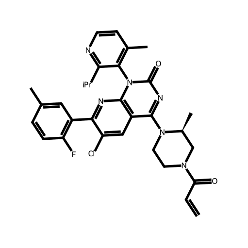 C=CC(=O)N1CCN(c2nc(=O)n(-c3c(C)ccnc3C(C)C)c3nc(-c4cc(C)ccc4F)c(Cl)cc23)[C@@H](C)C1